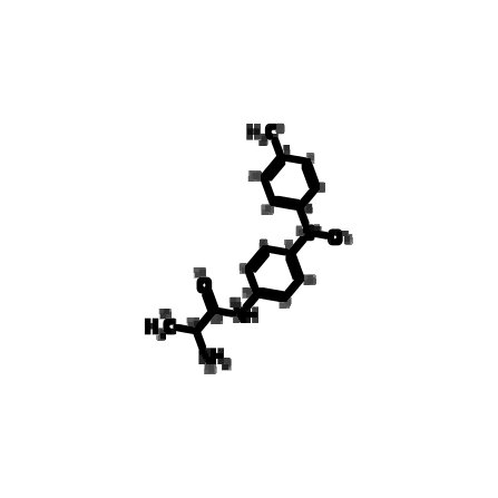 Cc1ccc([S+]([O-])c2ccc(NC(=O)C(C)N)cc2)cc1